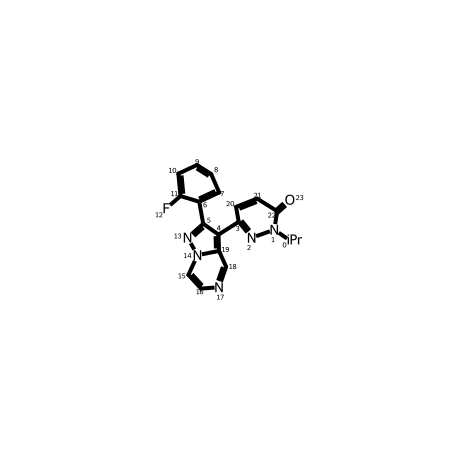 CC(C)n1nc(-c2c(-c3ccccc3F)nn3ccncc23)ccc1=O